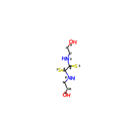 OCCNC(=S)C(=S)NCCO